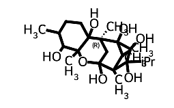 CC1CCC2(O)C(C)(OC3(O)C[C@]2(C)C2(O)C(O)C(O)(C(C)C)C3(C)C2(C)C)C1O